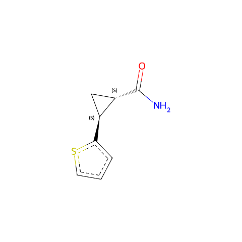 NC(=O)[C@H]1C[C@@H]1c1cccs1